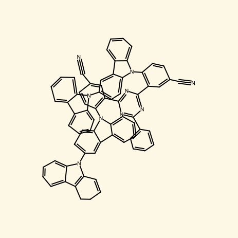 N#Cc1ccc(-n2c3ccccc3c3cc(-n4c5c(c6ccccc64)CCC=C5)ccc32)c(-c2nc(-c3ccccc3)nc(-c3cc(C#N)ccc3-n3c4ccccc4c4cc(-n5c6ccccc6c6ccccc65)ccc43)n2)c1